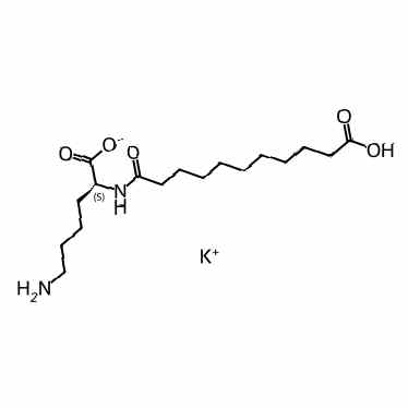 NCCCC[C@H](NC(=O)CCCCCCCCCC(=O)O)C(=O)[O-].[K+]